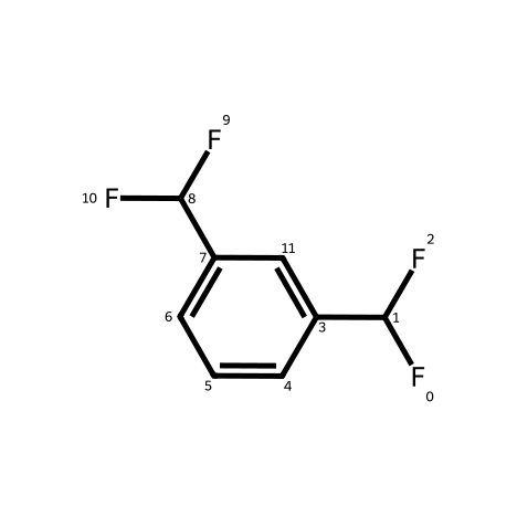 FC(F)c1cccc(C(F)F)c1